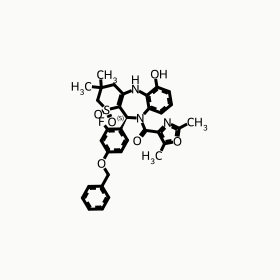 Cc1nc(C(=O)N2c3cccc(O)c3NC3=C([C@@H]2c2ccc(OCc4ccccc4)cc2F)S(=O)(=O)CC(C)(C)C3)c(C)o1